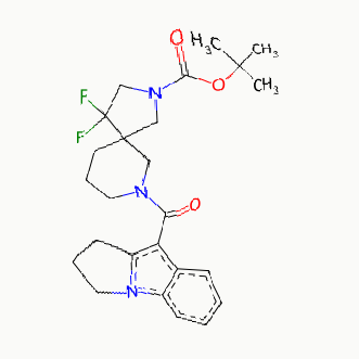 CC(C)(C)OC(=O)N1CC(F)(F)C2(CCCN(C(=O)c3c4n(c5ccccc35)CCC4)C2)C1